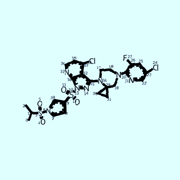 CC(C)S(=O)(=O)n1ccc(S(=O)(=O)n2nc(N3CCN(c4ncc(Cl)cc4F)CC34CC4)c3c(Cl)ccnc32)c1